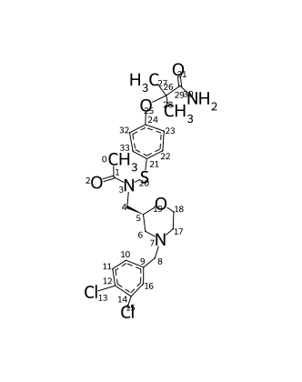 CC(=O)N(C[C@@H]1CN(Cc2ccc(Cl)c(Cl)c2)CCO1)Sc1ccc(OC(C)(C)C(N)=O)cc1